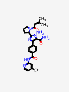 CCc1ccnc(NC(=O)c2ccc(-c3nc(C4CCCN4C(=O)C=C(C)C)n(N)c3C(N)=O)cc2)c1